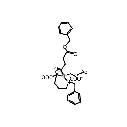 CC(=O)SC[N+]1(C(=O)CCC(=O)OCc2ccccc2)C(C)(C(=O)[O-])CCC[N+]1(Cc1ccccc1)C(=O)[O-]